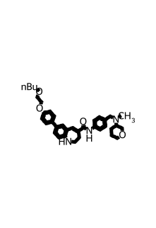 CCCCOCCOc1ccc(-c2ccc3c(c2)C=C(C(=O)Nc2ccc(CN(C)C4CCCOC4)cc2)CCN3)cc1